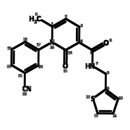 Cc1ccc(C(=O)NCc2cccs2)c(=O)n1-c1cccc(C#N)c1